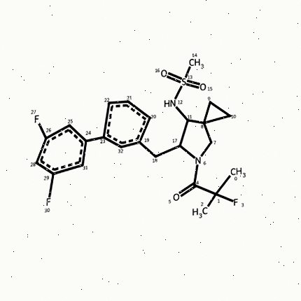 CC(C)(F)C(=O)N1CC2(CC2)C(NS(C)(=O)=O)C1Cc1cccc(-c2cc(F)cc(F)c2)c1